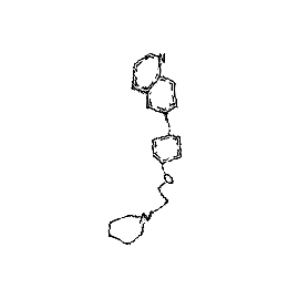 c1cnc2ccc(-c3ccc(OCCN4CCCCC4)cc3)cc2c1